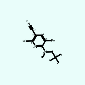 CN(CC(C)(C)C)c1nc(I)c(C#N)cc1F